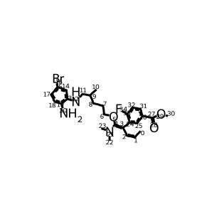 C/C=C\C(=C(\OCCCC(C)CNc1cc(Br)ccc1N)N(C)C)c1cc(C(=O)OC)ccc1F